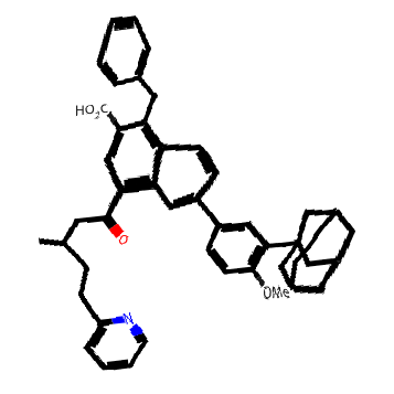 COc1ccc(-c2ccc3c(Cc4ccccc4)c(C(=O)O)cc(C(=O)CC(C)CCc4ccccn4)c3c2)cc1C12CC3CC(CC(C3)C1)C2